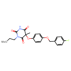 COCCN1C(=O)NC(=O)C(C)(Oc2ccc(OCc3ccc(F)cc3)cc2)C1=O